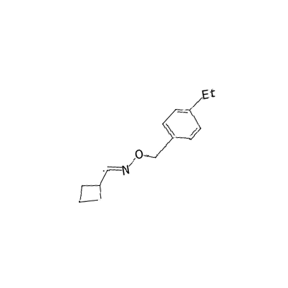 CCc1ccc(CON=[C]C2CCC2)cc1